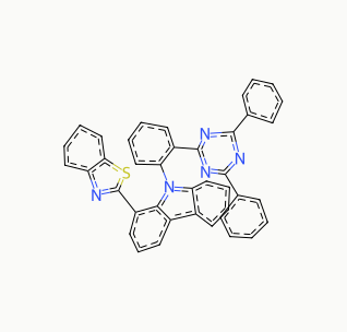 c1ccc(-c2nc(-c3ccccc3)nc(-c3ccccc3-n3c4ccccc4c4cccc(-c5nc6ccccc6s5)c43)n2)cc1